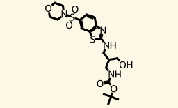 CC(C)(C)OC(=O)NCC(CO)CNc1nc2ccc(S(=O)(=O)N3CCOCC3)cc2s1